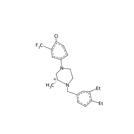 CCc1ccc(CN2CCN(c3ccc(Cl)c(C(F)(F)F)c3)C[C@H]2C)cc1CC